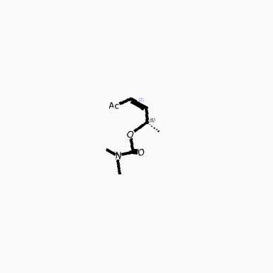 CC(=O)/C=C\[C@H](C)OC(=O)N(C)C